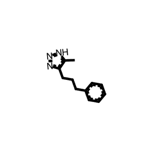 Cc1[nH]nnc1CCCc1ccccc1